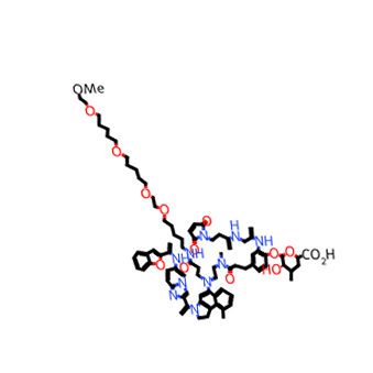 C=C(CCN1C(=O)C=CC1=O)NCC(=C)Nc1cc(CCC(=O)N(C)CCN(CCC(=O)NCCCCCOCCOCCCCCOCCCCCOCCOC)c2cc3c(c4c(C)cccc24)CCN3C(=C)c2cn3cc(NC(=C)c4cc5ccccc5o4)ccc3n2)ccc1OC1OC(C(=O)O)CC(C)[C@H]1O